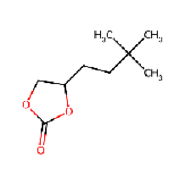 CC(C)(C)CCC1COC(=O)O1